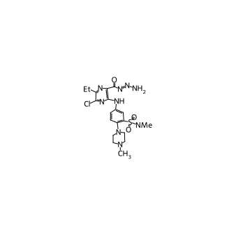 CCc1nc(C(=O)N=NN)c(Nc2ccc(N3CCN(C)CC3)c(S(=O)(=O)NC)c2)nc1Cl